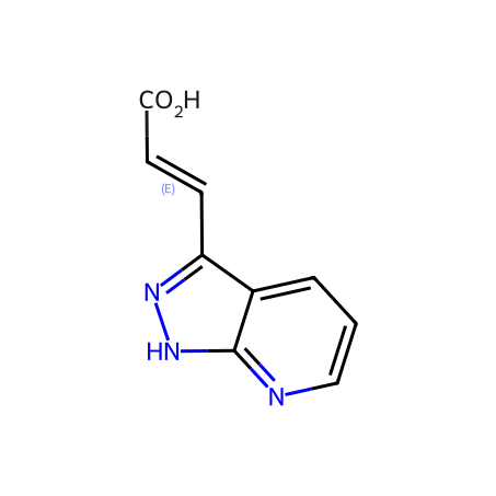 O=C(O)/C=C/c1n[nH]c2ncccc12